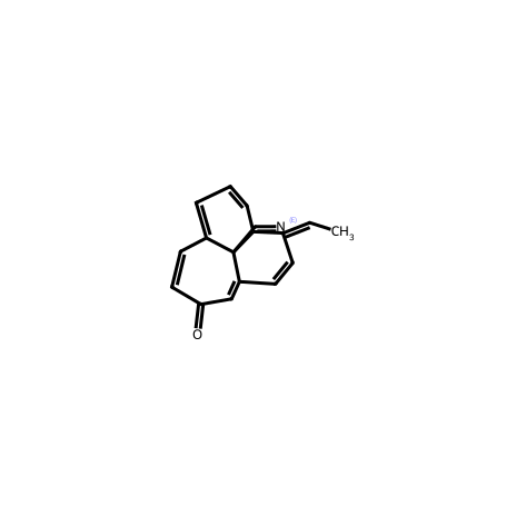 C/C=C/C1C=CC=C2C=CC(=O)C=C3C=CN=CC231